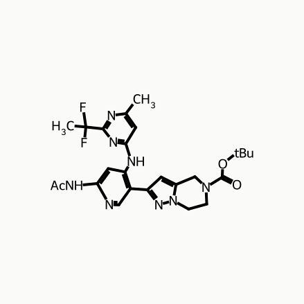 CC(=O)Nc1cc(Nc2cc(C)nc(C(C)(F)F)n2)c(-c2cc3n(n2)CCN(C(=O)OC(C)(C)C)C3)cn1